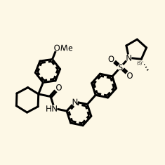 COc1ccc(C2(C(=O)Nc3cccc(-c4ccc(S(=O)(=O)N5CCC[C@@H]5C)cc4)n3)CCCCC2)cc1